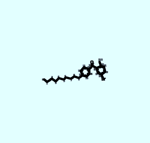 CCCCCCCCCCc1ccc(C(=O)c2cc(Br)ccc2I)cc1